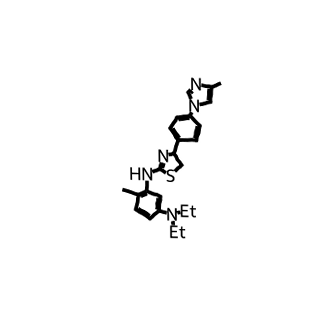 CCN(CC)c1ccc(C)c(NC2=NC(c3ccc(-n4cnc(C)c4)cc3)CS2)c1